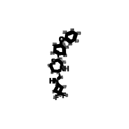 FC1(F)CC(NC[C@@H]2CCS[C@H](c3ccc(Oc4ccccc4)cc3)CN2)C1